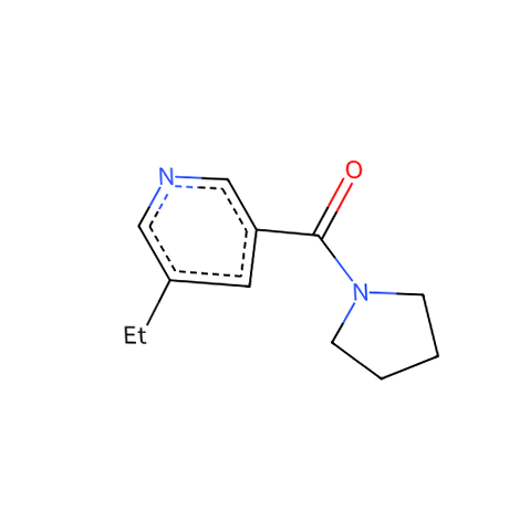 CCc1cncc(C(=O)N2CCCC2)c1